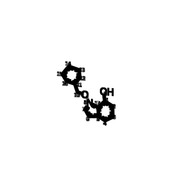 Oc1cccc2ccn(OCc3ccccc3)c12